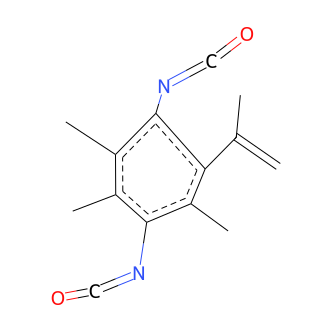 C=C(C)c1c(C)c(N=C=O)c(C)c(C)c1N=C=O